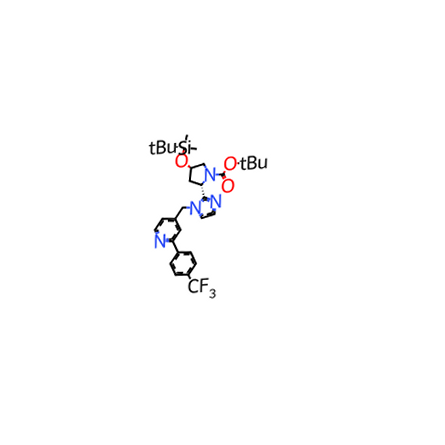 CC(C)(C)OC(=O)N1C[C@H](O[Si](C)(C)C(C)(C)C)C[C@H]1c1nccn1Cc1ccnc(-c2ccc(C(F)(F)F)cc2)c1